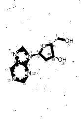 OC[C@H]1O[C@H](n2cnc3cncnc32)C[C@H]1O